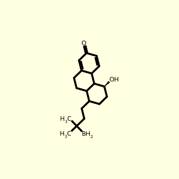 BC(C)(C)CCC1CC[C@H](O)C2C3C=CC(=O)C=C3CCC12